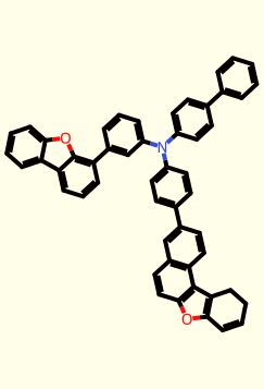 C1=Cc2oc3ccc4cc(-c5ccc(N(c6ccc(-c7ccccc7)cc6)c6cccc(-c7cccc8c7oc7ccccc78)c6)cc5)ccc4c3c2CC1